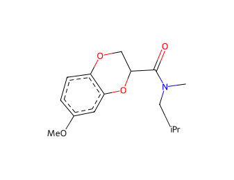 COc1ccc2c(c1)OC(C(=O)N(C)CC(C)C)CO2